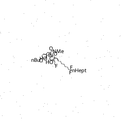 CCCCCCCC(F)(F)CCCCCCC=C[C@H](C(=O)N[C@@H](Cc1ccc(OCCCC)cc1)C(=O)NC)[C@@](O)(CCF)C(=O)O